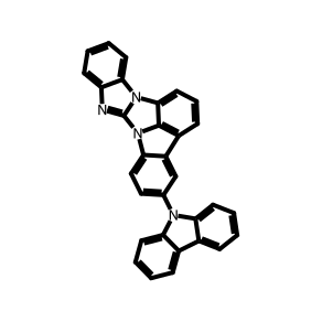 c1ccc2c(c1)nc1n2c2cccc3c4cc(-n5c6ccccc6c6ccccc65)ccc4n1c32